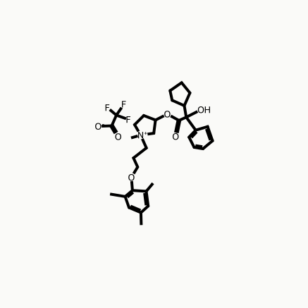 Cc1cc(C)c(OCCC[N+]2(C)CCC(OC(=O)C(O)(c3ccccc3)C3CCCC3)C2)c(C)c1.O=C([O-])C(F)(F)F